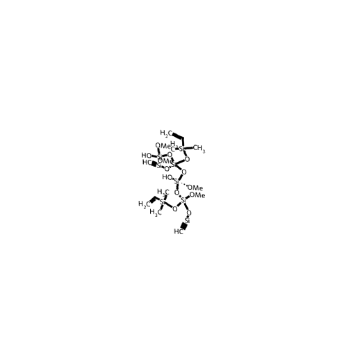 C#[Si]O[Si](OC)(O[Si](C)(C)C=C)O[Si@](O)(OC)O[Si](O[Si]#C)(O[Si](C)(C)C=C)O[Si](O)(OC)OC